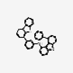 C1=CC(c2cccc(Nc3cccc4oc5cccc(-c6ccccc6)c5c34)c2)=C2Sc3ccccc3C2C1